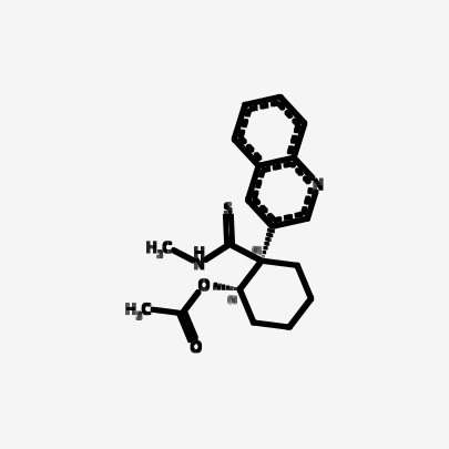 CNC(=S)[C@@]1(c2cnc3ccccc3c2)CCCC[C@@H]1OC(C)=O